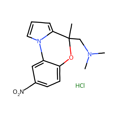 CN(C)CC1(C)Oc2ccc([N+](=O)[O-])cc2-n2cccc21.Cl